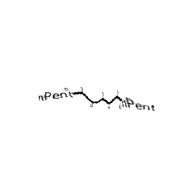 [CH2]CCCCC[CH]CCCCCCC[CH2]